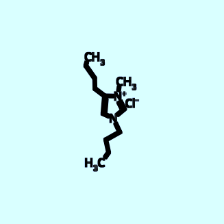 CCCCc1cn(CCCC)c[n+]1C.[Cl-]